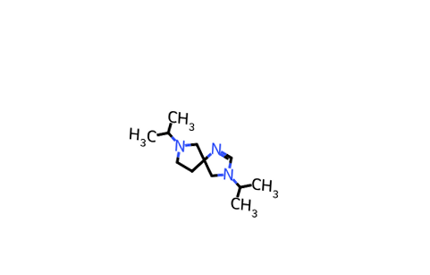 CC(C)N1C=NC2(CCN(C(C)C)C2)C1